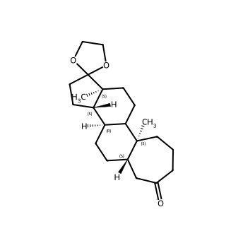 C[C@]12CCC3[C@@H](CC[C@H]4CC(=O)CCC[C@]34C)[C@@H]1CCC21OCCO1